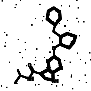 CC(C)NC(=O)c1c[nH]c2ncc(Oc3ccccc3Cc3ccccc3)nc12